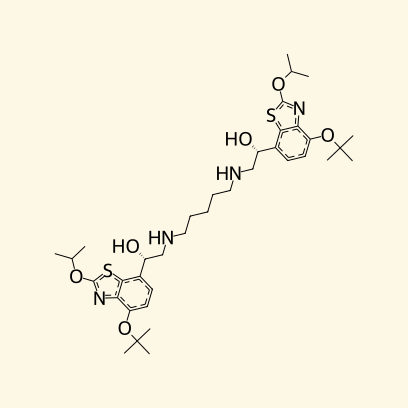 CC(C)Oc1nc2c(OC(C)(C)C)ccc([C@H](O)CNCCCCCNC[C@H](O)c3ccc(OC(C)(C)C)c4nc(OC(C)C)sc34)c2s1